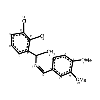 COc1ccc(/C=N\C(C)c2cccc(Cl)c2Cl)cc1OC